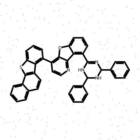 c1ccc(C2N=C(c3cccc4oc5c(-c6cccc7sc8c9ccccc9ccc8c67)ccnc5c34)NC(c3ccccc3)N2)cc1